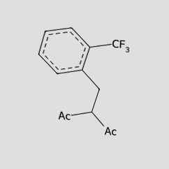 CC(=O)C(Cc1ccccc1C(F)(F)F)C(C)=O